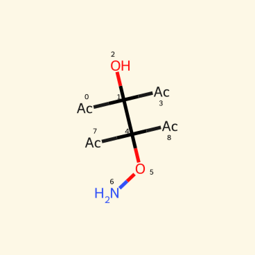 CC(=O)C(O)(C(C)=O)C(ON)(C(C)=O)C(C)=O